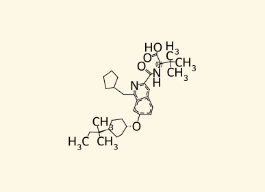 CCC(C)(C)[C@H]1CC[C@H](Oc2ccc3cc(C(=O)N[C@@H](C(=O)O)C(C)(C)C)nc(CC4CCCC4)c3c2)CC1